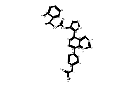 CC(OC(=O)Nc1cnoc1-c1ccc(-c2ccc(CC(=O)O)cc2)c2ncncc12)c1ccccc1Cl